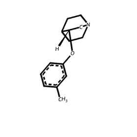 Cc1cccc(O[C@H]2CN3CCC2CC3)c1